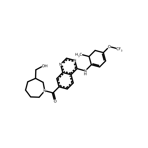 CC1CC(OC(F)(F)F)=CC=C1Nc1ncnc2cc(C(=O)N3CCCCC(CO)C3)ccc12